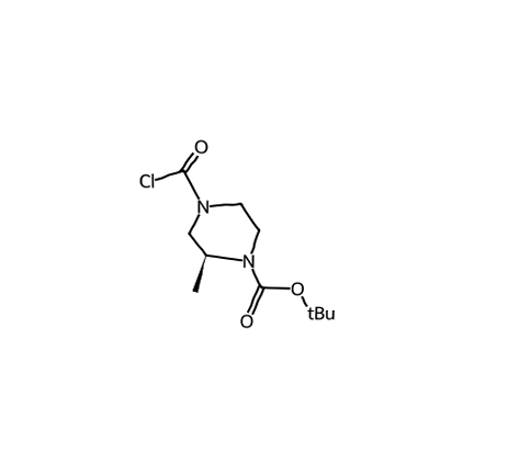 C[C@H]1CN(C(=O)Cl)CCN1C(=O)OC(C)(C)C